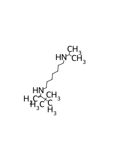 C=C(NCCCCCCCNC(C)C)C(C)(C)C